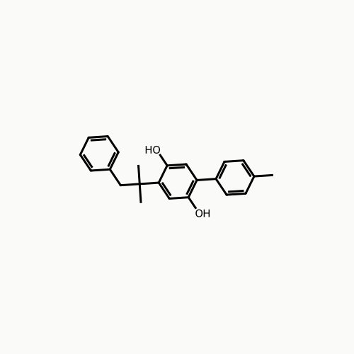 Cc1ccc(-c2cc(O)c(C(C)(C)Cc3ccccc3)cc2O)cc1